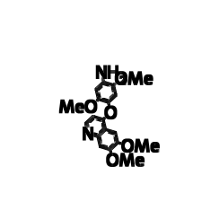 COc1cc(Oc2ccnc3cc(OC)c(OC)cc23)c(OC)cc1N